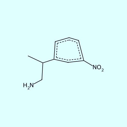 CC(CN)c1cccc([N+](=O)[O-])c1